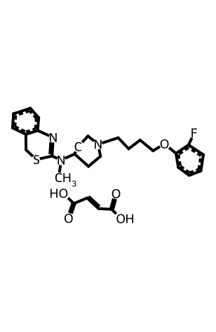 CN(C1=Nc2ccccc2CS1)C1CCN(CCCCOc2ccccc2F)CC1.O=C(O)/C=C/C(=O)O